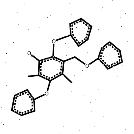 Cc1c([O])c(Oc2ccccc2)c(COc2ccccc2)c(C)c1Oc1ccccc1